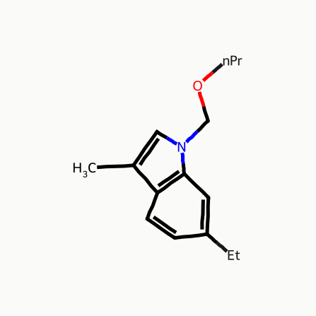 CCCOCn1cc(C)c2ccc(CC)cc21